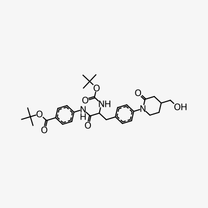 CC(C)(C)OC(=O)NC(Cc1ccc(N2CCC(CO)CC2=O)cc1)C(=O)Nc1ccc(C(=O)OC(C)(C)C)cc1